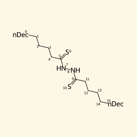 CCCCCCCCCCCCCCC(=S)NNC(=S)CCCCCCCCCCCCCC